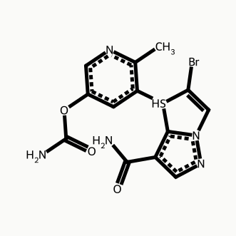 Cc1ncc(OC(N)=O)cc1[SH]1C(Br)=Cn2ncc(C(N)=O)c21